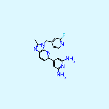 Cc1nc2ccc(-c3cc(N)nc(N)c3)nc2n1Cc1ccnc(F)c1